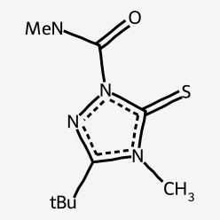 CNC(=O)n1nc(C(C)(C)C)n(C)c1=S